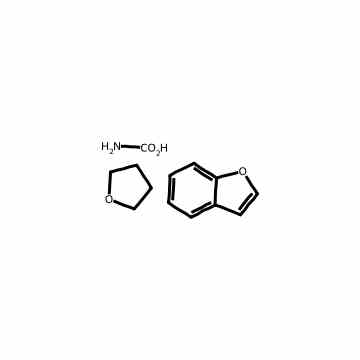 C1CCOC1.NC(=O)O.c1ccc2occc2c1